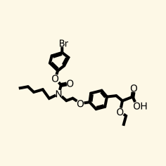 CCCCCN(CCOc1ccc(CC(OCC)C(=O)O)cc1)C(=O)Oc1ccc(Br)cc1